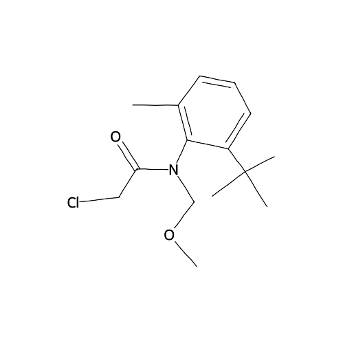 COCN(C(=O)CCl)c1c(C)cccc1C(C)(C)C